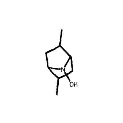 CC1CC2C(C)CC1N2O